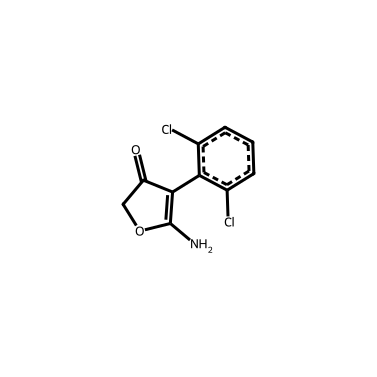 NC1=C(c2c(Cl)cccc2Cl)C(=O)CO1